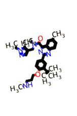 CCn1ncc(CN(C)C(=O)c2nc(-c3ccc(OCCCNC)c(C(C)(C)C)c3)nc3ccc(C)cc23)c1C